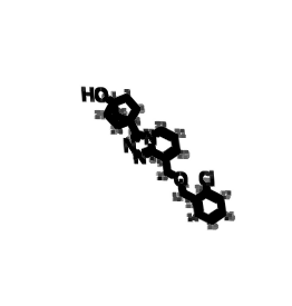 OC12CCC(c3nnc4c(COCc5ccccc5Cl)cccn34)(CC1)C2